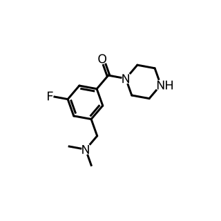 CN(C)Cc1cc(F)cc(C(=O)N2CCNCC2)c1